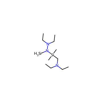 CCN(CC)C[Si](C)(C)N([SiH3])N(CC)CC